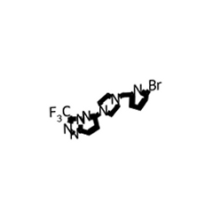 FC(F)(F)c1nnc2ccc(N3CCN(Cc4cccc(Br)n4)CC3)nn12